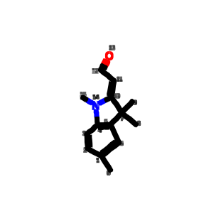 Cc1ccc2c(c1)C(C)(C)C(=CC=O)N2C